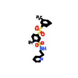 Cc1cccc(S(=O)(=O)c2ccc(C(C)C)c(S(=O)(=O)NCCc3ccccn3)c2)c1